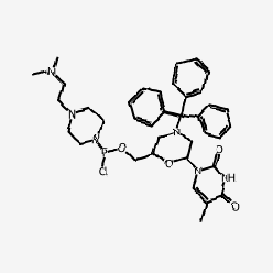 Cc1cn(C2CN(C(c3ccccc3)(c3ccccc3)c3ccccc3)CC(COP(Cl)N3CCN(CCN(C)C)CC3)O2)c(=O)[nH]c1=O